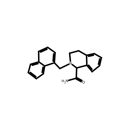 NC(=O)C1c2cc[c]cc2CCN1Cc1cccc2ccccc12